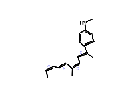 C\C=C/C=C(C)/C(C)=C\C=C(/C)c1ccc(NC)cc1